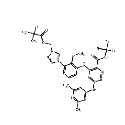 [2H]C([2H])([2H])NC(=O)c1nnc(Nc2cc(C)nc(C)n2)cc1Nc1cccc(-c2cn(COC(=O)C(C)(C)C)nn2)c1OC